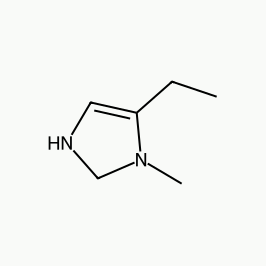 CCC1=CNCN1C